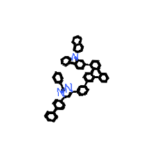 c1ccc(-c2ccc(-c3cc(-c4cccc(-c5ccc6c(c5)c5ccccc5c5cccc(-c7ccc8c9ccccc9n(-c9ccc%10ccccc%10c9)c8c7)c56)c4)nc(-c4ccccc4)n3)cc2)cc1